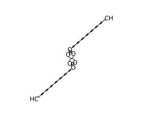 C#CC#CC#CC#CC#CC#CC#CC#COP1OCC2(CO1)COP(OC#CC#CC#CC#CC#CC#CC#CC#C)OC2